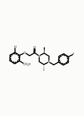 C[C@@H]1CN(C(=O)COc2c(Cl)cccc2C(=O)O)[C@@H](C)CN1Cc1ccc(F)cc1